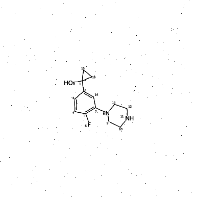 OC1(c2ccc(F)c(N3CCNCC3)c2)CC1